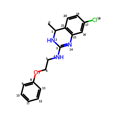 CC1NC(NCCOc2ccccc2)=Nc2cc(Cl)ccc21